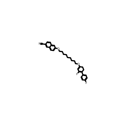 N#Cc1ccc2cc(OCCCCCCCCCOC3=CC(F)=C(c4ccc(F)cc4)CC3)ccc2c1